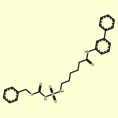 O=C(CCCCCNS(=O)(=O)NC(=O)OCc1ccccc1)Nc1cccc(-c2ccccc2)c1